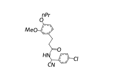 CCCOc1ccc(CCC(=O)NC(C#N)c2ccc(Cl)cc2)cc1OC